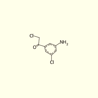 Nc1cc(Cl)cc(C(=O)CCl)c1